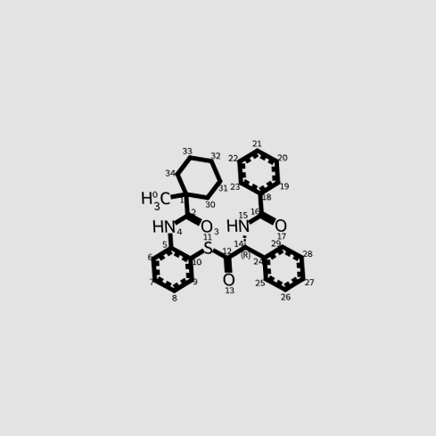 CC1(C(=O)Nc2ccccc2SC(=O)[C@H](NC(=O)c2ccccc2)c2ccccc2)CCCCC1